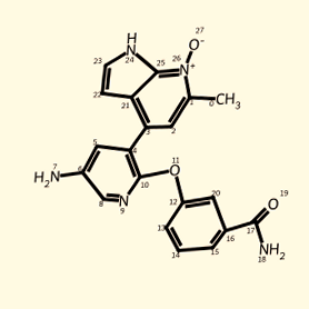 Cc1cc(-c2cc(N)cnc2Oc2cccc(C(N)=O)c2)c2cc[nH]c2[n+]1[O-]